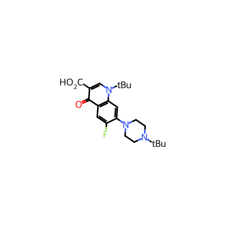 CC(C)(C)N1CCN(c2cc3c(cc2F)c(=O)c(C(=O)O)cn3C(C)(C)C)CC1